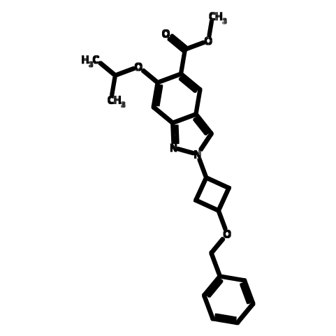 COC(=O)c1cc2cn(C3CC(OCc4ccccc4)C3)nc2cc1OC(C)C